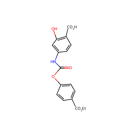 CCOC(=O)c1ccc(OC(=O)Nc2ccc(C(=O)O)c(O)c2)cc1